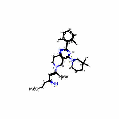 CN/C(=C\C(=N)CCOC)N1CCc2nc(-c3c(C)cccc3C)nc(N3CCCC(C)(C)C3)c2C1